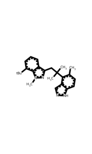 Cc1ccc2[nH]ncc2c1C(C)(C)Cc1nn(C)c2c(C(C)(C)C)cccc12